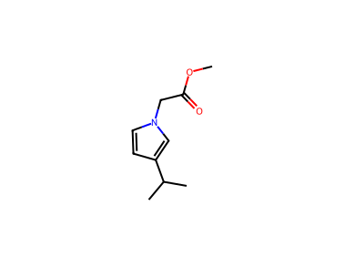 COC(=O)Cn1ccc(C(C)C)c1